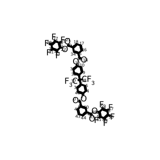 O=C(Oc1ccc(C(c2ccc(OC(=O)c3cccc(C(=O)Oc4c(F)c(F)c(F)c(F)c4F)c3)cc2)(C(F)(F)F)C(F)(F)F)cc1)c1cccc(C(=O)Oc2c(F)c(F)c(F)c(F)c2F)c1